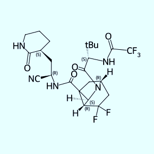 CC(C)(C)[C@H](NC(=O)C(F)(F)F)C(=O)N1[C@@H]2CC[C@H]([C@H]1C(=O)N[C@@H](C#N)C[C@@H]1CCCNC1=O)C(F)(F)C2